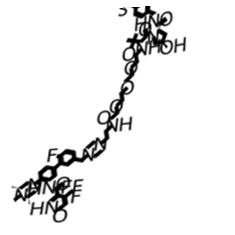 Cc1ncsc1-c1ccc(CNC(=O)[C@@H]2C[C@@H](O)CN2C(=O)C(NC(=O)COCCOCCOCC(=O)NCCN2CCN(Cc3ccc(F)c(-c4ccc(N5C[C@@H](C)N(C)[C@@H](C)C5)c(NC(=O)c5c[nH]c(=O)cc5C(F)(F)F)c4)c3)CC2)C(C)(C)C)cc1